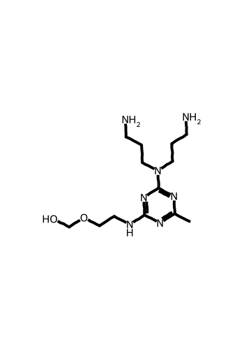 Cc1nc(NCCOCO)nc(N(CCCN)CCCN)n1